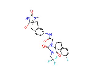 CN1C(=O)NC(=O)[C@@]12Cc1ccc(NC(=O)CN3C(=O)N(CC(F)(F)F)C(=O)C34CCc3ccc(F)cc34)cc1C2